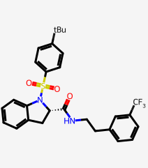 CC(C)(C)c1ccc(S(=O)(=O)N2c3ccccc3C[C@H]2C(=O)NCCc2cccc(C(F)(F)F)c2)cc1